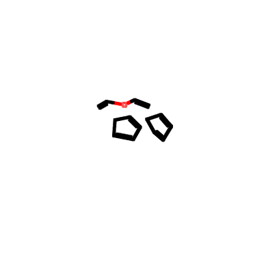 C1=CCC=C1.C1=CCC=C1.C=COC=C